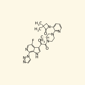 C[C@@H]1CN(c2ncccc2N2CC(C)(C)C2=O)CCN1C(=O)C(=O)c1c[nH]c2c(-n3ccnn3)ncc(F)c12